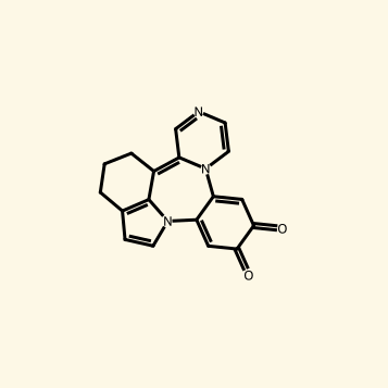 O=c1cc2n3ccncc3c3c4c(ccn4c-2cc1=O)CCC3